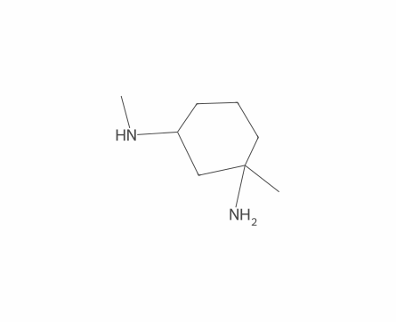 CNC1CCCC(C)(N)C1